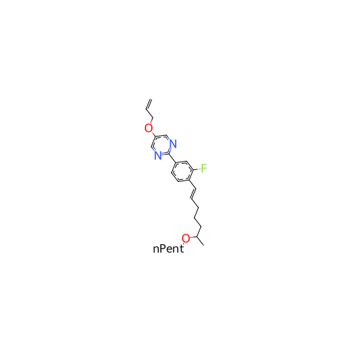 C=CCOc1cnc(-c2ccc(C=CCCCC(C)OCCCCC)c(F)c2)nc1